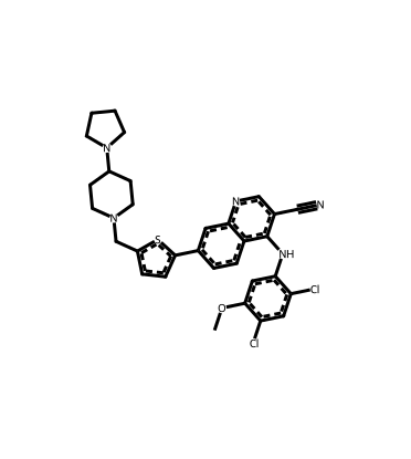 COc1cc(Nc2c(C#N)cnc3cc(-c4ccc(CN5CCC(N6CCCC6)CC5)s4)ccc23)c(Cl)cc1Cl